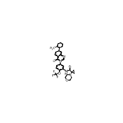 Cc1ccccc1-c1ccc2c(=O)n(-c3ccc(OC(F)(F)F)c(NC(=O)C4(N5CCOCC5)CC4)c3)cnc2c1